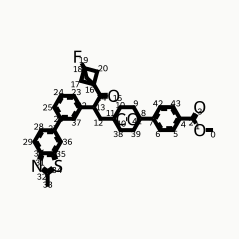 COC(=O)c1ccc(C23CCC(CC(C(=O)C45CC(F)(C4)C5)c4cccc(-c5ccc6nc(C)sc6c5)c4)(CC2)CO3)cc1